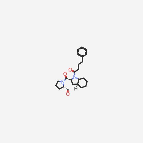 O=C[C@@H]1CCCN1C(=O)[C@@H]1C[C@H]2CCCCC2N1C(=O)CCCc1ccccc1